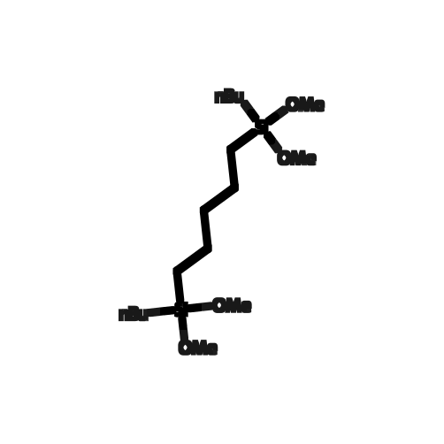 CCCC[Si](CCCCC[Si](CCCC)(OC)OC)(OC)OC